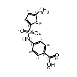 Cc1ccc(S(=O)(=O)Nc2ccc(C(=O)O)cc2)s1